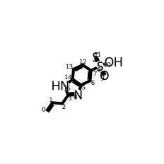 C=CCc1nc2cc(S(=O)(O)=S)ccc2[nH]1